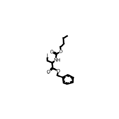 CCCCOC(=O)NC(CI)C(=O)OCc1ccccc1